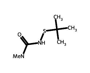 CNC(=O)NSC(C)(C)C